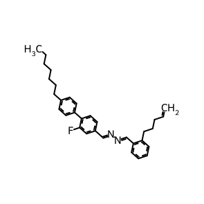 C=CCCCc1ccccc1C=NN=Cc1ccc(-c2ccc(CCCCCCC)cc2)c(F)c1